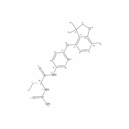 CC[C@@H](NC(=O)O)C(=O)Nc1ccc(Oc2ccc(C)c3c2C(C)(C)CO3)nc1